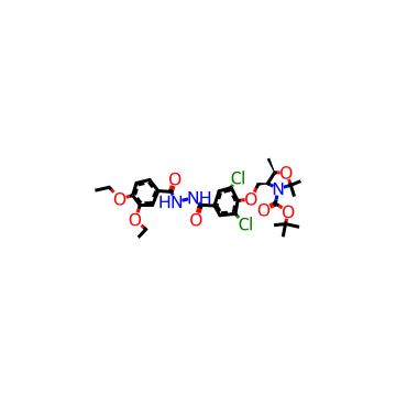 CCOc1ccc(C(=O)NNC(=O)c2cc(Cl)c(OC[C@H]3[C@@H](C)OC(C)(C)N3C(=O)OC(C)(C)C)c(Cl)c2)cc1OCC